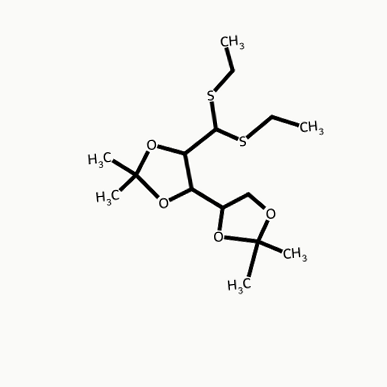 CCSC(SCC)C1OC(C)(C)OC1C1COC(C)(C)O1